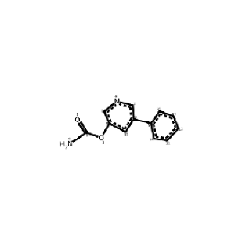 NC(=O)Oc1cncc(-c2ccccc2)c1